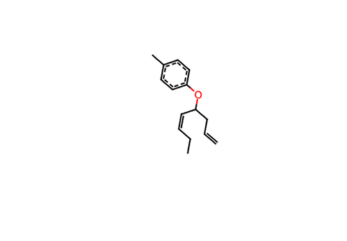 C=CCC(/C=C\CC)Oc1ccc(C)cc1